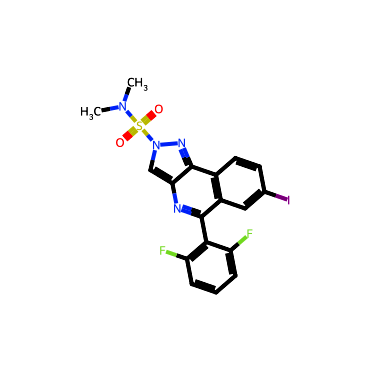 CN(C)S(=O)(=O)n1cc2nc(-c3c(F)cccc3F)c3cc(I)ccc3c2n1